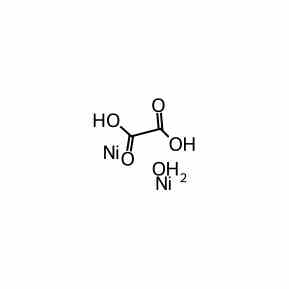 O.O=C(O)C(=O)O.[Ni].[Ni]